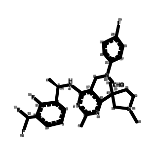 Cc1nc(N[C@H](C)c2cccc(C(F)F)c2F)c(CN(C=O)c2ccc(F)cc2)c(C2(C)CCN(C)C2)n1